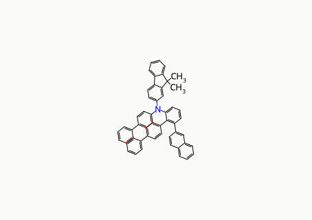 CC1(C)c2ccccc2-c2ccc(N(c3ccc(-c4ccccc4)cc3)c3cccc(-c4ccc5ccccc5c4)c3-c3ccc(-c4ccccc4)cc3)cc21